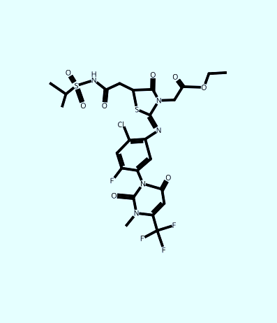 CCOC(=O)CN1C(=O)C(CC(=O)NS(=O)(=O)C(C)C)SC1=Nc1cc(-n2c(=O)cc(C(F)(F)F)n(C)c2=O)c(F)cc1Cl